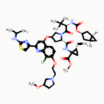 C=C[C@@H]1CC1(NC(=O)[C@@H]1CC(Oc2cc(-c3csc(NC(C)C)n3)nc3c(Cl)c(OCCN4CC[C@@H](OC)C4)ccc23)CN1C(=O)[C@@H](NC(=O)O[C@@H]1C[C@@H]2C[C@@H]2C1)C(C)(C)C)C(=O)OC